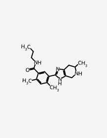 CCCNC(=O)c1cc(-c2nc3c([nH]2)CNC(C)C3)c(C)cc1C